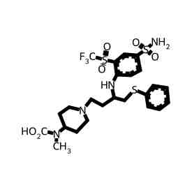 CN(C(=O)O)C1CCN(CCC(CSc2ccccc2)Nc2ccc(S(N)(=O)=O)cc2S(=O)(=O)C(F)(F)F)CC1